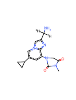 [2H]C([2H])(N)c1cn2cc(C3CC3)cc(N3CC(=O)N(C)C3=O)c2n1